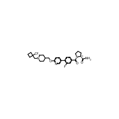 NC(=O)[C@@H]1CCCN1C(=O)c1ccc(-c2ccc(OCC3CCN(CC4(C(F)(F)F)CCC4)CC3)nc2)c(F)c1